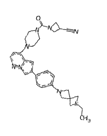 CCN1CC2(C1)CN(c1ccc(-c3cc4c(N5CCN(C(=O)N6CC(C#N)C6)CC5)ccnn4c3)cc1)C2